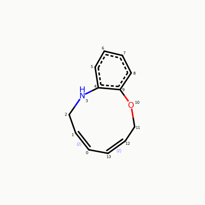 C1=C\CNc2ccccc2OC\C=C/1